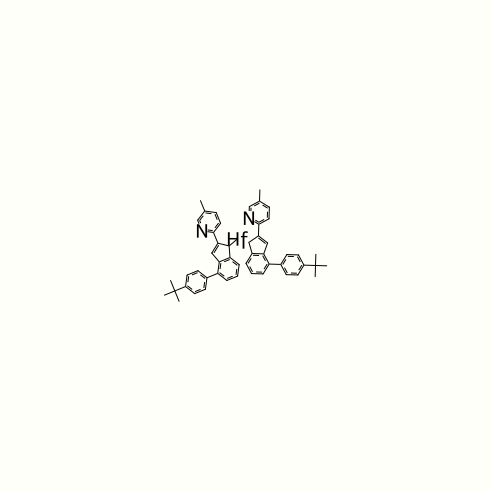 Cc1ccc(C2=Cc3c(-c4ccc(C(C)(C)C)cc4)cccc3[CH]2[Hf][CH]2C(c3ccc(C)cn3)=Cc3c(-c4ccc(C(C)(C)C)cc4)cccc32)nc1